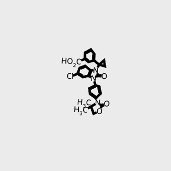 CC1(C)COC(=O)N1c1ccc(-n2c(=O)n(C3(c4cccc(C(=O)O)c4)CC3)c3ccc(Cl)cc32)cc1